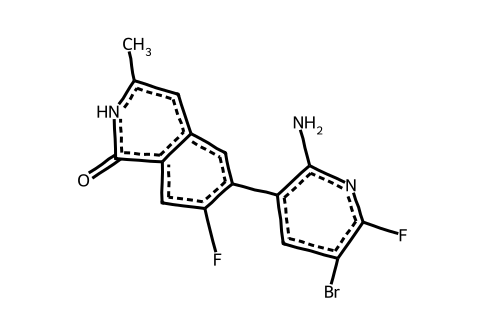 Cc1cc2cc(-c3cc(Br)c(F)nc3N)c(F)cc2c(=O)[nH]1